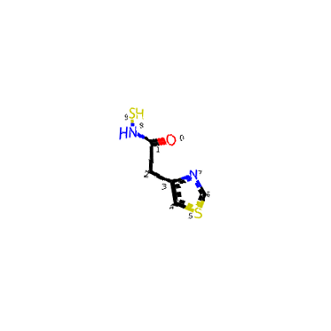 O=C(Cc1cscn1)NS